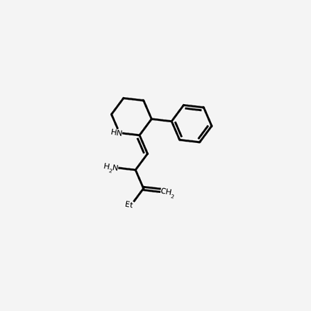 C=C(CC)C(N)/C=C1\NCCCC1c1ccccc1